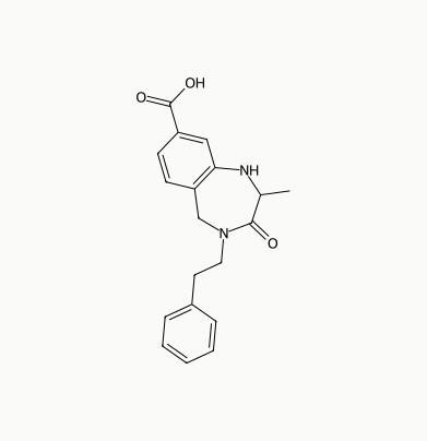 CC1Nc2cc(C(=O)O)ccc2CN(CCc2ccccc2)C1=O